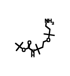 CC(C)(CCOC(C)(C)CCN)NC(=O)OC(C)(C)C